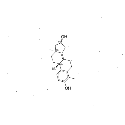 CC[C@@]12CC[C@@]3(C)C[C@@H](O)CC3=C1CCc1c2ccc(O)c1C